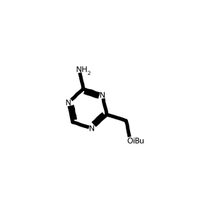 CC(C)COCc1ncnc(N)n1